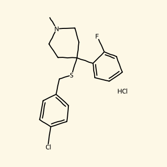 CN1CCC(SCc2ccc(Cl)cc2)(c2ccccc2F)CC1.Cl